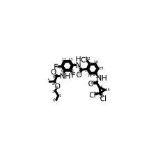 CCCOC(C)C(=O)Nc1c(F)ccc(NC(=O)c2cc(NC(=O)C3CC3(Cl)Cl)ccc2Cl)c1F